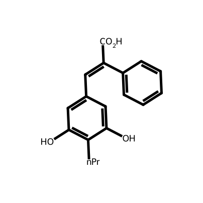 CCCc1c(O)cc(C=C(C(=O)O)c2ccccc2)cc1O